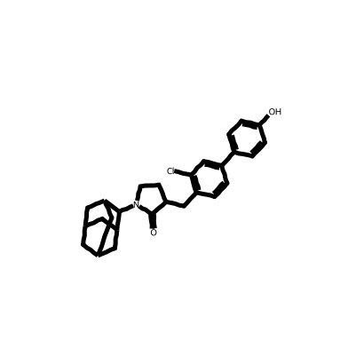 O=C1C(Cc2ccc(-c3ccc(O)cc3)cc2Cl)CCN1C1C2CC3CC(C2)CC1C3